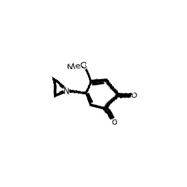 COC1=CC(=O)C(=O)C=C1N1CC1